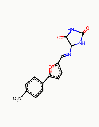 O=C1NC(=O)C(N=Cc2ccc(-c3ccc([N+](=O)[O-])cc3)o2)N1